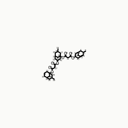 CC1C=C2CC(C1)CC(OC(=O)CC(=O)OC13CC(C)CC(CC(OC(=O)CC(=O)OC45CCCC(CC(C)C4)C5)C1)C3)C2